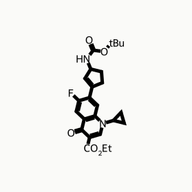 CCOC(=O)c1cn(C2CC2)c2cc(C3=CC(NC(=O)OC(C)(C)C)CC3)c(F)cc2c1=O